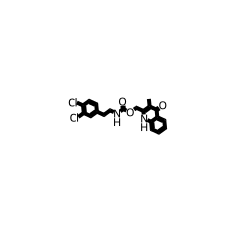 Cc1c(COC(=O)NCCc2ccc(Cl)c(Cl)c2)[nH]c2ccccc2c1=O